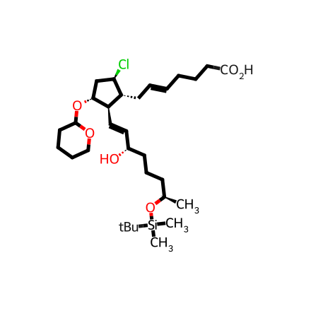 C[C@H](CCC[C@H](O)/C=C/[C@@H]1[C@@H](CC=CCCCC(=O)O)[C@H](Cl)C[C@H]1OC1CCCCO1)O[Si](C)(C)C(C)(C)C